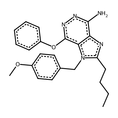 CCCCc1nc2c(N)nnc(Oc3ccccc3)c2n1Cc1ccc(OC)cc1